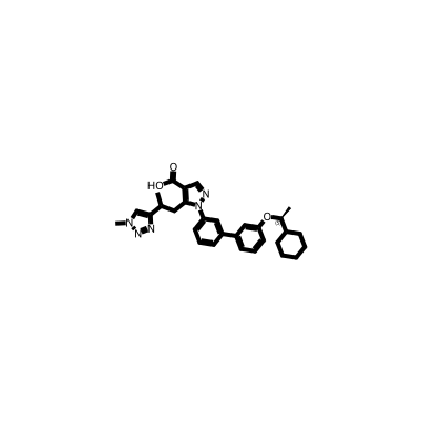 CC(Cc1c(C(=O)O)cnn1-c1cccc(-c2cccc(O[C@@H](C)C3CCCCC3)c2)c1)c1cn(C)nn1